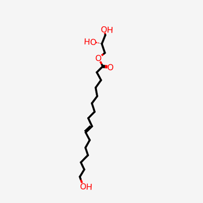 O=C(CCCCCCC/C=C/CCCCCCO)OC[C@H](O)CO